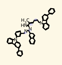 C/C(=C\C=C/Cn1c2ccccc2c2cc(-c3ccccc3)ccc21)C(=N)/N=C(\N=C\c1cccc(-n2c3ccccc3c3cc(-c4ccccc4)ccc32)c1)C1C=c2ccccc2=CC1